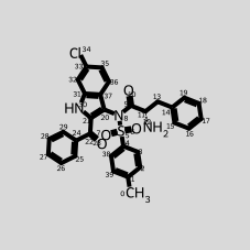 Cc1ccc(S(=O)(=O)N(C(=O)[C@@H](N)Cc2ccccc2)c2c(C(=O)c3ccccc3)[nH]c3cc(Cl)ccc23)cc1